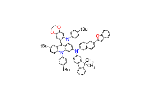 CC(C)(C)c1ccc(N2c3ccc(C(C)(C)C)cc3B3c4cc5c(cc4N(c4ccc(C(C)(C)C)cc4)c4cc(N(c6ccc7c(c6)C(C)(C)c6ccccc6-7)c6ccc7cc(-c8cc9ccccc9o8)ccc7c6)cc2c43)OCCO5)cc1